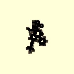 CCc1nc(C(=O)O)c2n1-c1ccc(C#CC(C)(C)C)cc1C(c1ccccc1)=NC2